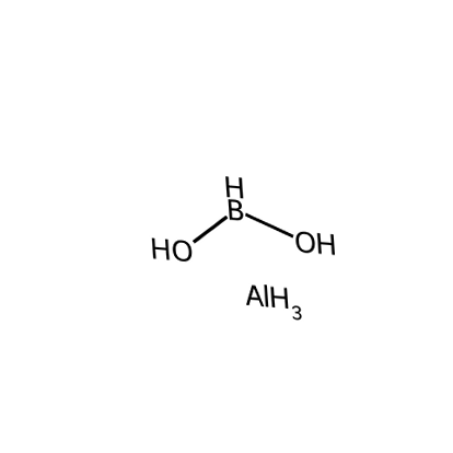 OBO.[AlH3]